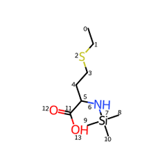 CCSCCC(N[Si](C)(C)C)C(=O)O